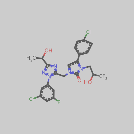 CC(O)c1nc(Cn2cc(-c3ccc(Cl)cc3)n(CC(O)C(F)(F)F)c2=O)n(-c2cc(F)cc(Cl)c2)n1